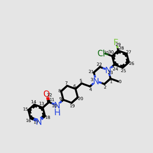 CC1CN(CCC2CCC(NC(=O)c3cccnc3)CC2)CCN1c1cccc(F)c1Cl